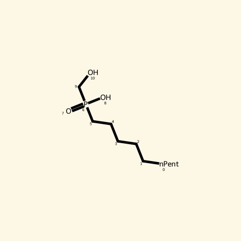 CCCCCCCCCCP(=O)(O)CO